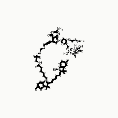 CCN1\C(=C/C=C/C=C/C2=[N+](CCCCCC(=O)NCC(C)(C)SSCOCC#Cc3cn([C@H]4C[C@@H](OCSSC(C)(C)C)[C@@H](COP(=O)(O)OP(=O)(O)OP(=O)(O)O)O4)c4nc(N)[nH]c(=O)c34)c3ccc(C)cc3C2(C)C)C(C)(C)c2cc(C)ccc21